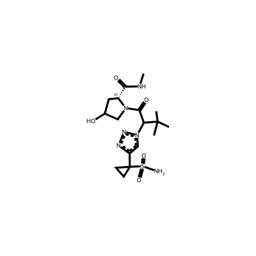 CNC(=O)[C@H]1CC(O)CN1C(=O)C(n1cc(C2(S(N)(=O)=O)CC2)nn1)C(C)(C)C